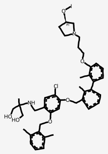 Cc1cccc(C)c1COc1cc(OCc2cccc(-c3cccc(OCCCN4CC[C@@H](OI)C4)c3C)c2C)c(Cl)cc1CNC(C)(CO)CO